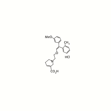 COc1cccc(C(=COCCN2CCC=C(C(=O)O)C2)c2ccccc2C)c1.Cl